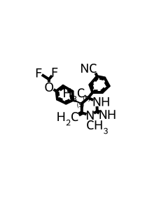 C=C1[C@@H](c2ccc(OC(F)F)cc2)[C@@](C)(c2cccc(C#N)c2)NC(=N)N1C